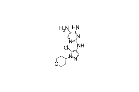 CNc1nc(Nc2cnn(C3CCOCC3)c2Cl)ncc1N